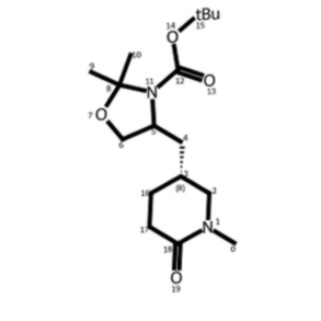 CN1C[C@@H](CC2COC(C)(C)N2C(=O)OC(C)(C)C)CCC1=O